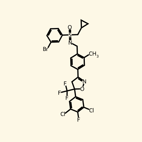 Cc1cc(C2=NOC(c3cc(Cl)c(F)c(Cl)c3)(C(F)(F)F)C2)ccc1CN=S(=O)(CC1CC1)c1cccc(Br)c1